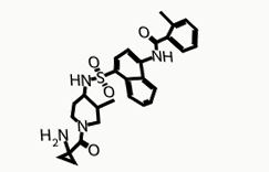 Cc1ccccc1C(=O)Nc1ccc(S(=O)(=O)NC2CCN(C(=O)C3(N)CC3)CC2C)c2ccccc12